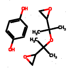 CC(C)(OC(C)(C)C1CO1)C1CO1.Oc1ccc(O)cc1